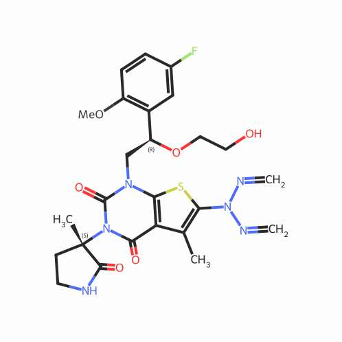 C=NN(N=C)c1sc2c(c1C)c(=O)n([C@@]1(C)CCNC1=O)c(=O)n2C[C@H](OCCO)c1cc(F)ccc1OC